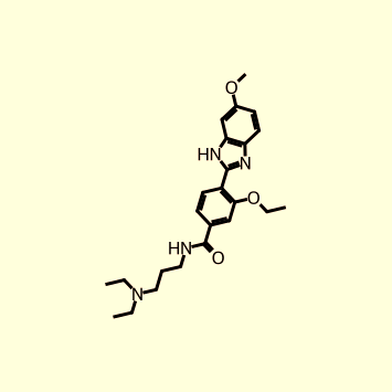 CCOc1cc(C(=O)NCCCN(CC)CC)ccc1-c1nc2ccc(OC)cc2[nH]1